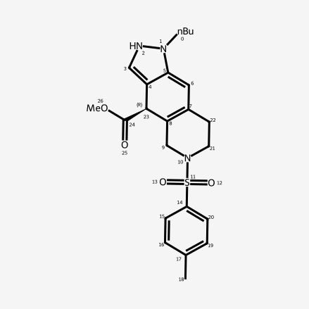 CCCCN1NC=C2C1=CC1=C(CN(S(=O)(=O)c3ccc(C)cc3)CC1)[C@H]2C(=O)OC